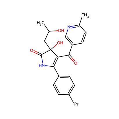 Cc1ccc(C(=O)C2=C(c3ccc(C(C)C)cc3)NC(=O)C2(O)CC(C)O)cn1